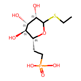 CCSC1O[C@H](CCP(=O)(O)O)[C@@H](O)[C@H](O)[C@@H]1O